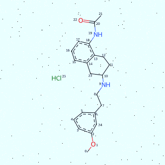 COc1cccc(CCNC2CCc3c(cccc3NC(C)=O)C2)c1.Cl